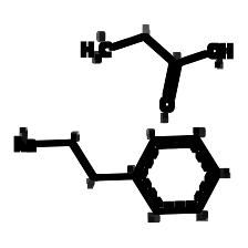 CCC(=O)O.[Na][CH2]Cc1ccccc1